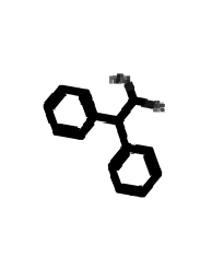 CCCCC(CC)[C](c1ccccc1)c1ccccc1